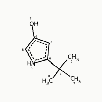 CC(C)(C)c1cc(O)c[nH]1